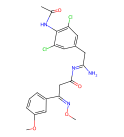 CON=C(CC(=O)N=C(N)Cc1cc(Cl)c(NC(C)=O)c(Cl)c1)c1cccc(OC)c1